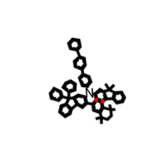 CC1(C)CCC(C)(C)c2cc(-c3cc4c(cc3N(c3ccc(-c5ccc(-c6ccccc6)cc5)cc3)c3ccc5c(c3)C(C)(C)c3ccccc3-5)C(c3ccccc3)(c3ccccc3)c3ccccc3-4)ccc21